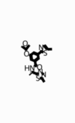 Cc1cnc(-c2cc(OC3COC3)cc(C(=O)N[C@H](C)c3nnc(C)s3)c2)s1